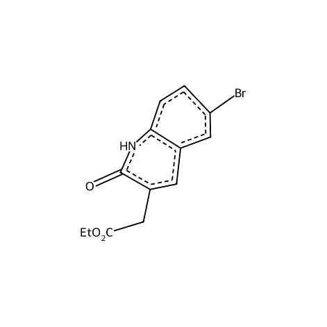 CCOC(=O)Cc1cc2cc(Br)ccc2[nH]c1=O